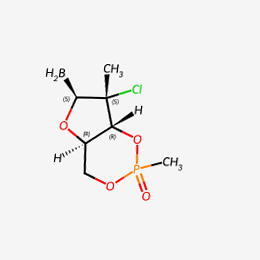 B[C@@H]1O[C@@H]2COP(C)(=O)O[C@H]2[C@@]1(C)Cl